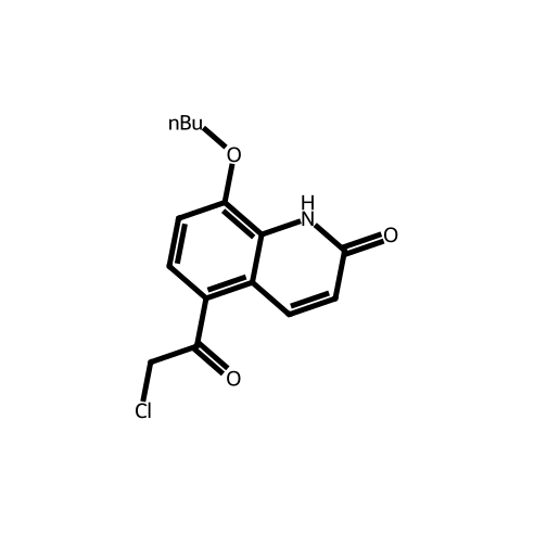 CCCCOc1ccc(C(=O)CCl)c2ccc(=O)[nH]c12